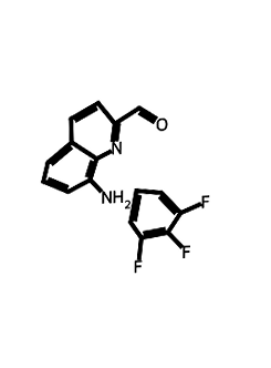 Fc1cccc(F)c1F.Nc1cccc2ccc(C=O)nc12